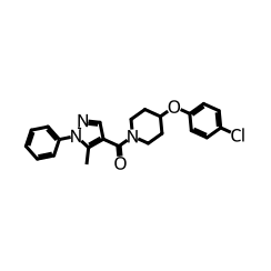 Cc1c(C(=O)N2CCC(Oc3ccc(Cl)cc3)CC2)cnn1-c1ccccc1